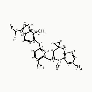 Cc1cnc2c(c1)[S+]([O-])N(Cc1nc(Cc3ccn4c(C(F)F)nnc4c3C)ccc1C)CC1(CC1)O2